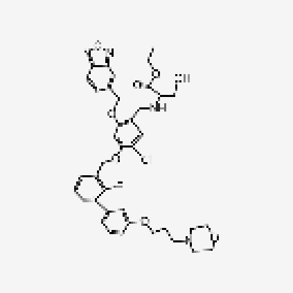 CCOC(=O)C(CO)NCc1cc(Cl)c(OCc2cccc(-c3cccc(OCCCN4CCOCC4)c3)c2F)cc1OCc1ccc2nonc2c1